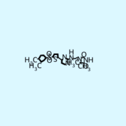 Cc1ccc(S(=O)(=O)c2ccc(-c3ccnc(NCCN4C(=O)NC(=O)C4(C)C)n3)s2)cc1C